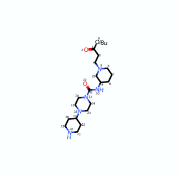 CC(C)COC(=O)CCN1CCCC(NC(=O)N2CCN(C3CCNCC3)CC2)C1